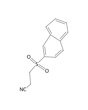 N#CCCS(=O)(=O)c1ccc2ccccc2c1